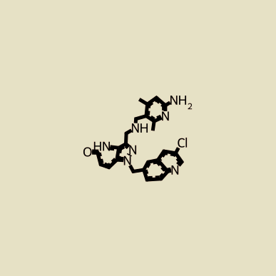 Cc1cc(N)nc(C)c1CNCc1nn(Cc2ccc3ncc(Cl)cc3c2)c2ccc(=O)[nH]c12